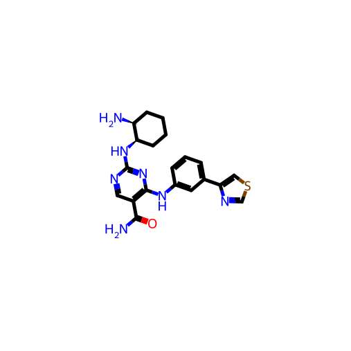 NC(=O)c1cnc(N[C@@H]2CCCC[C@@H]2N)nc1Nc1cccc(-c2cscn2)c1